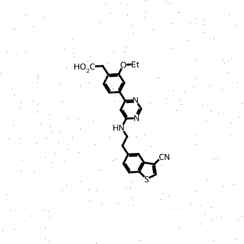 CCOc1cc(-c2cc(NCCc3ccc4scc(C#N)c4c3)ncn2)ccc1CC(=O)O